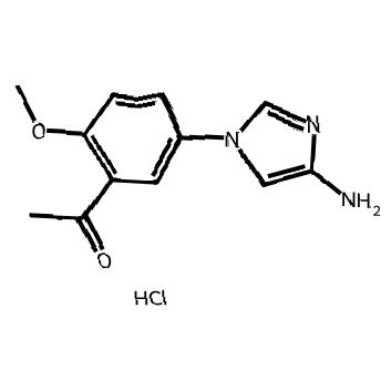 COc1ccc(-n2cnc(N)c2)cc1C(C)=O.Cl